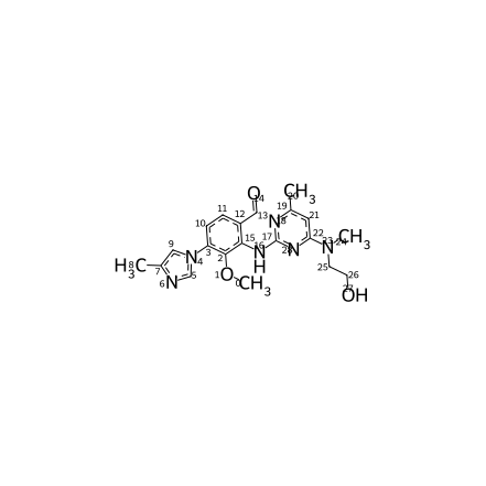 COc1c(-n2cnc(C)c2)ccc(C=O)c1Nc1nc(C)cc(N(C)CCO)n1